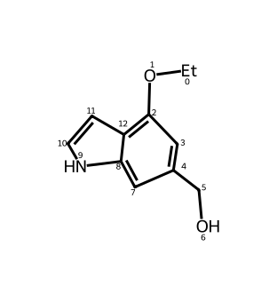 CCOc1cc(CO)cc2[nH]ccc12